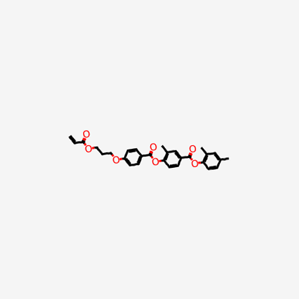 C=CC(=O)OCCCOc1ccc(C(=O)Oc2ccc(C(=O)Oc3ccc(C)cc3C)cc2C)cc1